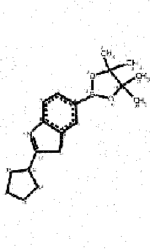 CC1(C)OB(c2ccc3c(c2)CC(C2CCCC2)=N3)OC1(C)C